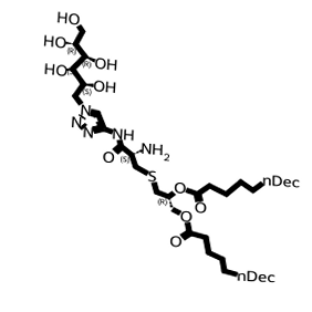 CCCCCCCCCCCCCCC(=O)OC[C@H](CSC[C@@H](N)C(=O)Nc1cn(C[C@H](O)[C@H](O)[C@H](O)[C@H](O)CO)nn1)OC(=O)CCCCCCCCCCCCCC